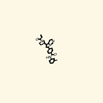 C=CC(=O)N1CCC(c2cc(-c3ccc(C(=O)Nc4cccc(C)c4)cc3)n3cnccc23)C1